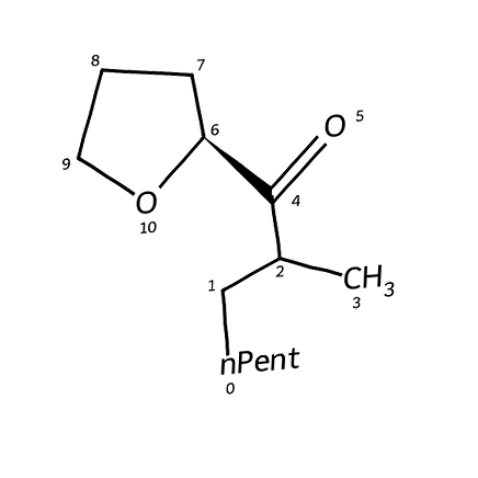 CCCCCCC(C)C(=O)[C@@H]1CCCO1